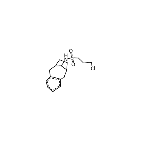 O=S(=O)(CCCCl)NC1C2CCC1Cc1ccccc1C2